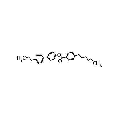 CCCCCCc1ccc(C(=O)Oc2ccc(-c3ccc(CCC)cc3)cc2)cc1